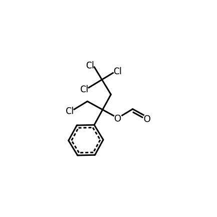 O=COC(CCl)(CC(Cl)(Cl)Cl)c1ccccc1